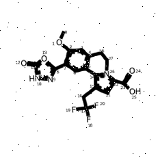 COc1cc2c(cc1-c1n[nH]c(=O)o1)-c1c(CC(F)(F)F)cc(C(=O)O)n1CC2